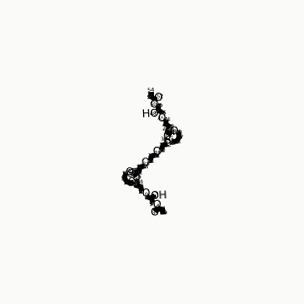 C=CC(=O)OCC(O)COCCC[Si]1(C)CCCCO[Si](C)(CCCOCCCOCCC[Si]2(C)CCCCO[Si](C)(CCCOCC(O)COC(=O)C=C)O2)O1